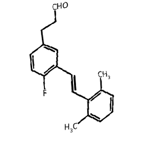 Cc1cccc(C)c1C=Cc1cc(CCC=O)ccc1F